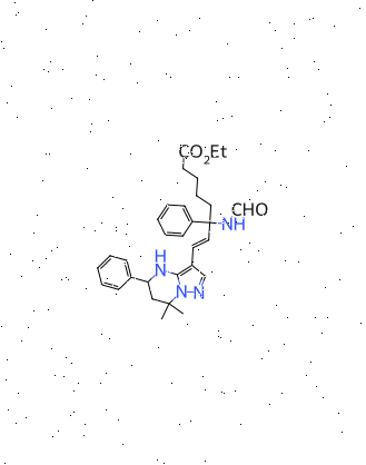 CCOC(=O)CCCCC(/C=C/c1cnn2c1NC(c1ccccc1)CC2(C)C)(NC=O)c1ccccc1